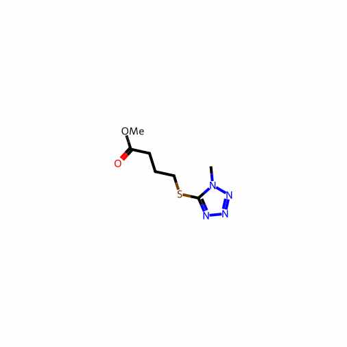 COC(=O)CCCSc1nnnn1C